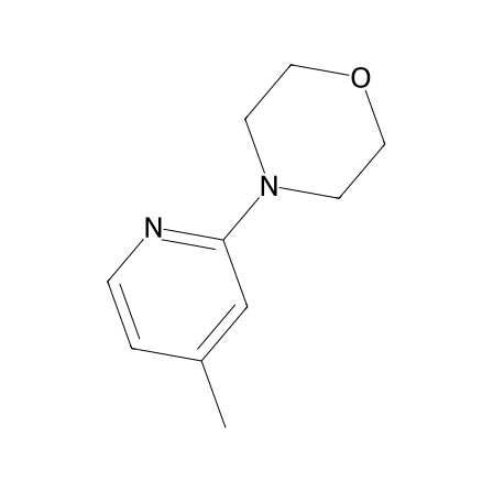 Cc1ccnc(N2CCOCC2)c1